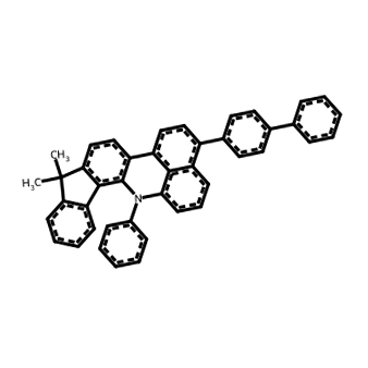 CC1(C)c2ccccc2-c2c1ccc1c2N(c2ccccc2)c2cccc3c(-c4ccc(-c5ccccc5)cc4)ccc-1c23